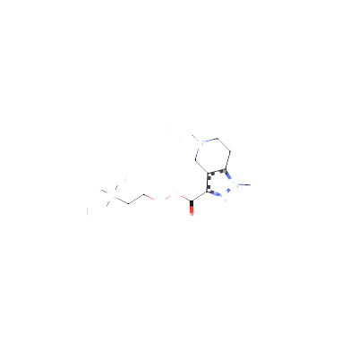 Cn1nc(C(=O)OOCC[Si](C)(C)C)c2c1CCN(C(=O)O)C2